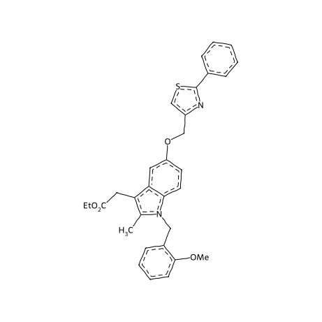 CCOC(=O)Cc1c(C)n(Cc2ccccc2OC)c2ccc(OCc3csc(-c4ccccc4)n3)cc12